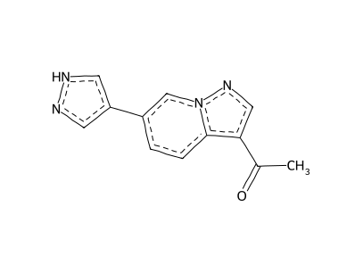 CC(=O)c1cnn2cc(-c3cn[nH]c3)ccc12